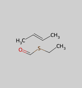 CC=CC.CCSC=O